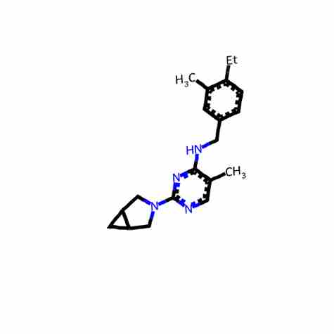 CCc1ccc(CNc2nc(N3CC4CC4C3)ncc2C)cc1C